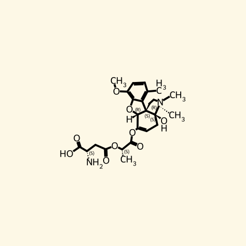 COc1ccc(C)c2c1O[C@H]1C(OC(=O)[C@H](C)OC(=O)C[C@H](N)C(=O)O)=CC[C@@]3(O)[C@@H](C)N(C)CC[C@]213